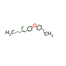 CCCCC(F)=Cc1ccc(Oc2ccc(CCC)cc2)cc1